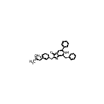 CN(C)Cc1cccc(Cc2nc3c(Cc4ccccc4)[nH]c(-c4ccccc4)cn-3c2=O)c1